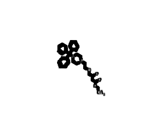 CCOC(=O)CC(=O)COCCN1CCN(C(c2ccccc2)(c2ccccc2)c2ccccc2)CC1